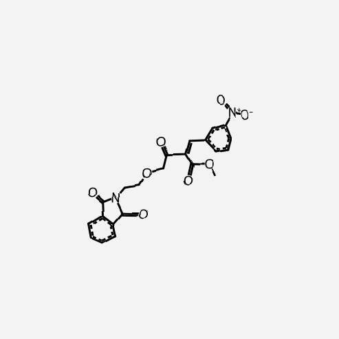 COC(=O)C(=Cc1cccc([N+](=O)[O-])c1)C(=O)COCCN1C(=O)c2ccccc2C1=O